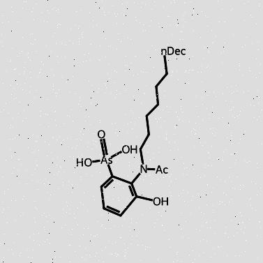 CCCCCCCCCCCCCCCCN(C(C)=O)c1c(O)cccc1[As](=O)(O)O